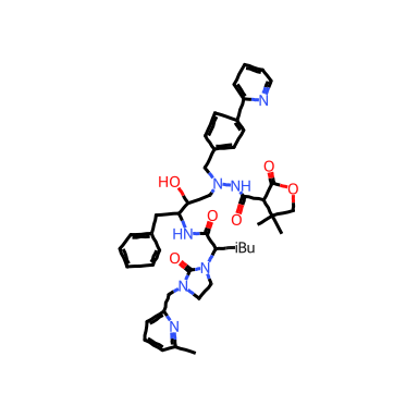 CCC(C)C(C(=O)NC(Cc1ccccc1)C(O)CN(Cc1ccc(-c2ccccn2)cc1)NC(=O)C1C(=O)OCC1(C)C)N1CCN(Cc2cccc(C)n2)C1=O